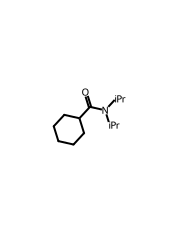 CC(C)N(C(=O)C1CCCCC1)C(C)C